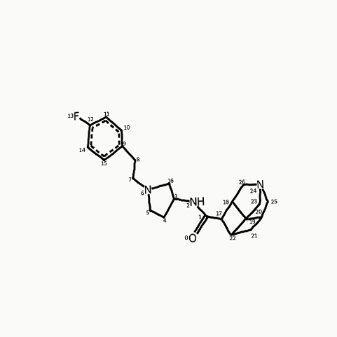 O=C(NC1CCN(CCc2ccc(F)cc2)C1)C1C2CC3CC1CN(C3)C2